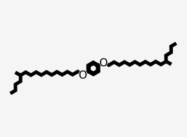 CCCCC(C)CCCCCCCCCCCOc1ccc(OCCCCCCCCCCCC(C)CCCC)cc1